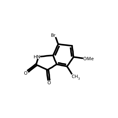 COc1cc(Br)c2c(c1C)C(=O)C(=O)N2